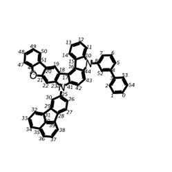 c1ccc(-c2cccc(-n3c4ccccc4c4c5c6cc7c(cc6n(-c6ccc8c(c6)-c6cccc9cccc-8c69)c5ccc43)oc3ccccc37)c2)cc1